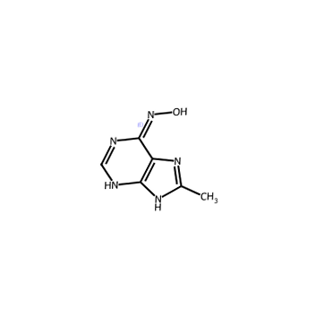 Cc1nc2/c(=N\O)nc[nH]c2[nH]1